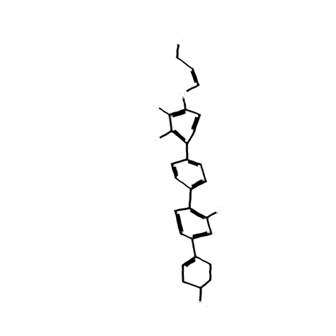 CC/C=C\Oc1ccc(-c2ccc(-c3ccc(C4=CCC(C)CC4)cc3F)cc2)c(F)c1F